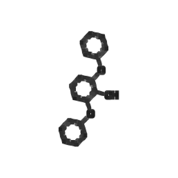 Oc1c(Oc2ccccc2)cccc1Oc1ccccc1